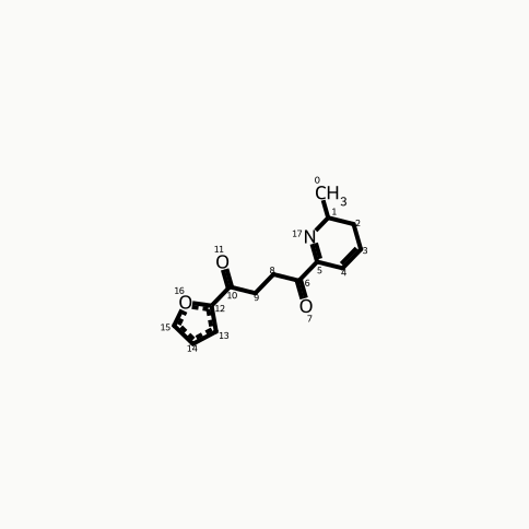 CC1CC=CC(C(=O)CCC(=O)c2ccco2)=N1